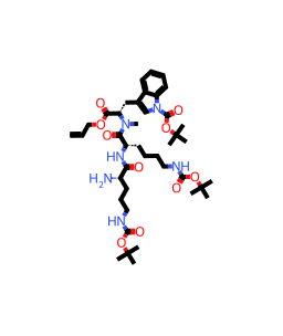 C=CCOC(=O)[C@H](Cc1cn(C(=O)OC(C)(C)C)c2ccccc12)N(C)C(=O)[C@H](CCCCNC(=O)OC(C)(C)C)NC(=O)[C@@H](N)CCCNC(=O)OC(C)(C)C